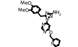 COc1ccc(Cc2nc(N)nn2-c2cc(OCc3ccccn3)ncn2)cc1OC